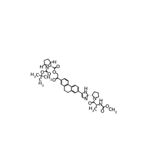 COC(=O)N[C@@H](C)C(=O)N1CCC[C@H]1c1ncc(-c2ccc3c(c2)CCc2cc(C(=O)COC(=O)[C@@H]4[C@H]5CC[C@H](C5)N4C(=O)OC(C)(C)C)ccc2-3)[nH]1